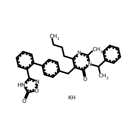 CCCCc1nc(C)n(C(C)c2ccccc2)c(=O)c1Cc1ccc(-c2ccccc2-c2noc(=O)[nH]2)cc1.[KH]